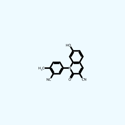 Cc1ccc(-n2c(=O)c(C#N)cc3ccc(O)cc32)cc1C#N